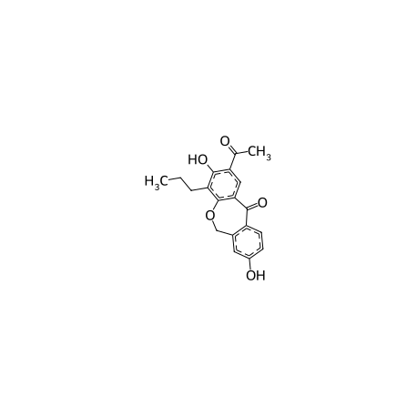 CCCc1c(O)c(C(C)=O)cc2c1OCc1cc(O)ccc1C2=O